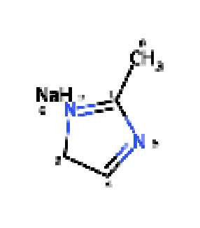 CC1=NCC=N1.[NaH]